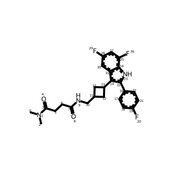 CN(C)C(=O)CCC(=O)NCC1CC(c2c(-c3ccc(F)cc3)[nH]c3c(F)cc(F)cc23)C1